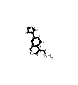 NCC1=COCc2cc(-c3ccsc3)ccc21